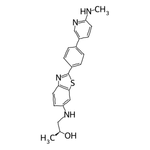 CNc1ccc(-c2ccc(-c3nc4ccc(NC[C@H](C)O)cc4s3)cc2)cn1